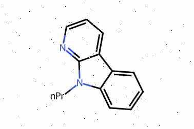 CCCn1c2ccccc2c2cccnc21